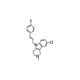 CN1CCc2c(c3cc(Cl)ccc3n2CC=Cc2ccc(F)cc2)C1